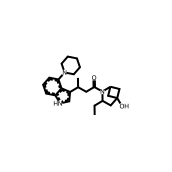 CCC1CC2(O)CC(C2)N1C(=O)CC(C)c1c[nH]c2cccc(N3CCCCC3)c12